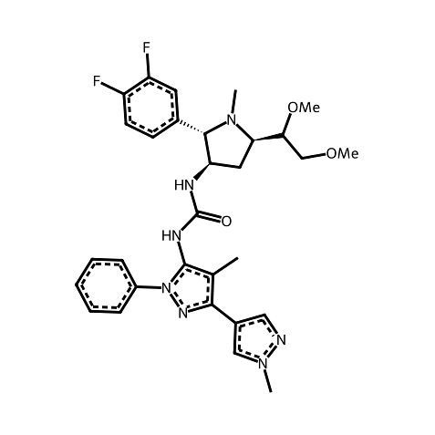 COCC(OC)[C@H]1C[C@@H](NC(=O)Nc2c(C)c(-c3cnn(C)c3)nn2-c2ccccc2)[C@H](c2ccc(F)c(F)c2)N1C